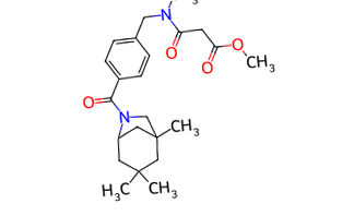 COC(=O)CC(=O)N(C)Cc1ccc(C(=O)N2CC3(C)CC2CC(C)(C)C3)cc1